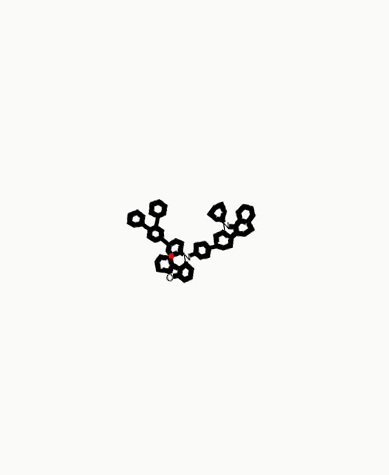 c1ccc(-c2ccc(-c3ccc(N(c4ccc(-c5ccc6c7ccc8ccccc8c7n(-c7ccccc7)c6c5)cc4)c4cccc5oc6ccccc6c45)cc3)cc2-c2ccccc2)cc1